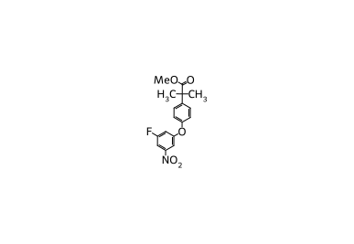 COC(=O)C(C)(C)c1ccc(Oc2cc(F)cc([N+](=O)[O-])c2)cc1